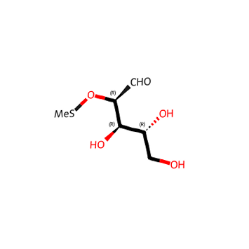 CSO[C@@H](C=O)[C@H](O)[C@H](O)CO